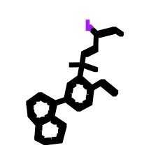 C=Cc1ccc(-c2cccc3ccccc23)cc1C(C)(C)/C=C/C(I)=C\C